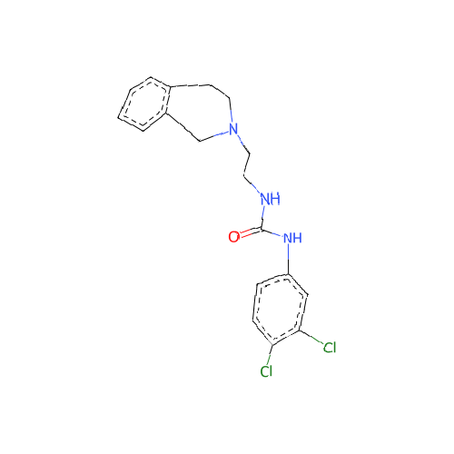 O=C(NCCN1CCc2ccccc2C1)Nc1ccc(Cl)c(Cl)c1